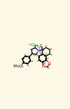 COc1ccc(C2CCN(C3(C)CCCc4c3ccc3c4OCO3)C2)cc1.Cl